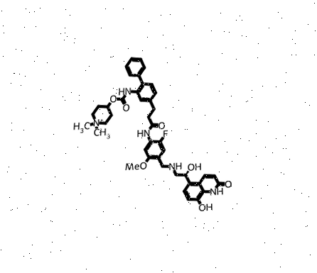 COc1cc(NC(=O)CCc2ccc(-c3ccccc3)c(NC(=O)OC3CC[N+](C)(C)CC3)c2)c(F)cc1CNC[C@@H](O)c1ccc(O)c2[nH]c(=O)ccc12